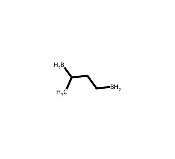 BCCC(B)C